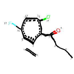 C=C.CCCC(=O)c1ccc(F)cc1Cl